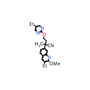 CCc1cnc(OCCC(C)(C#N)c2ccc3cc(CC)c(OC)nc3c2)nc1